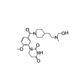 COc1ccc(C(=O)N2CCC(CCN(C)CO)CC2)cc1N1CCC(=O)NC1=O